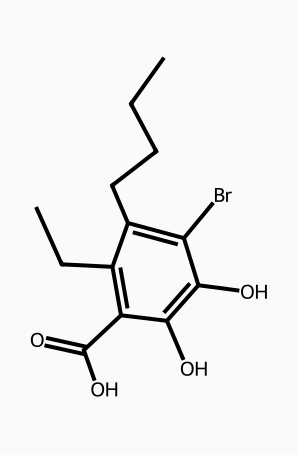 CCCCc1c(Br)c(O)c(O)c(C(=O)O)c1CC